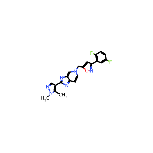 Cc1c(-c2nc3ccn(Cc4cc(-c5cc(F)ccc5F)no4)cc-3n2)cnn1C